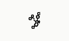 Cn1c(-c2ccc(Cl)cc2)c(CCC(=O)Cl)c2cc(Cl)ccc21